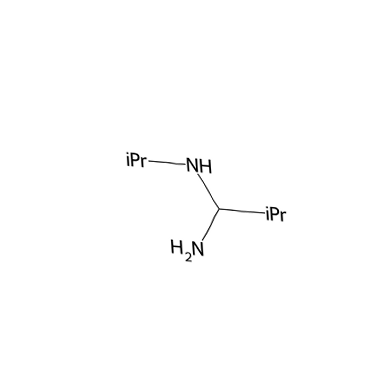 CC(C)NC(N)C(C)C